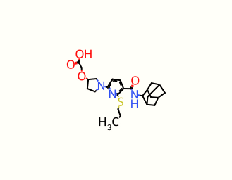 CCCSc1nc(N2CCC(OCC(=O)O)C2)ccc1C(=O)NC1C2CC3CC(C2)CC1C3